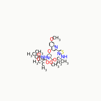 COC(=O)C1CC(Oc2cc(-c3csc(NC(C)C)n3)nc3cc(OC)ccc23)CN1C(=O)[C@@H](NC(=O)OC(C)(C)C)C(C)C